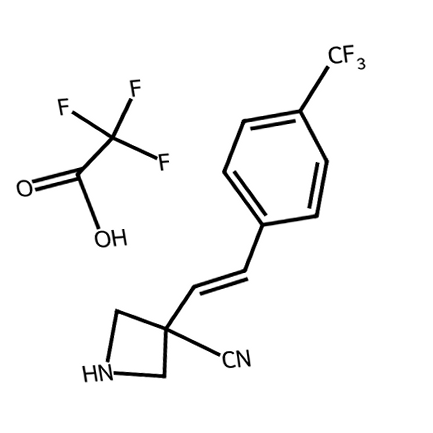 N#CC1(C=Cc2ccc(C(F)(F)F)cc2)CNC1.O=C(O)C(F)(F)F